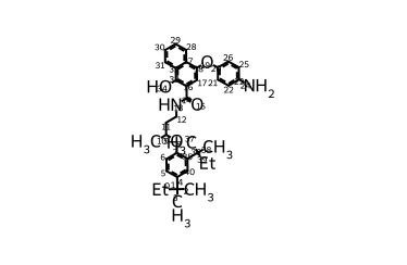 CCC(C)(C)c1ccc(OC(C)CCNC(=O)c2cc(Oc3ccc(N)cc3)c3ccccc3c2O)c(C(C)(C)CC)c1